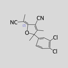 CC1=C(C#N)/C(=C(\C)C#N)OC1(C)c1ccc(Cl)c(Cl)c1